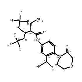 NC[C@@H](C(=O)Nc1ccc(N2CCOCC2=O)c(C(F)F)c1)N(CC(F)(F)F)CC(F)(F)F